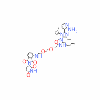 C=C/C=C\CC(NC(=O)CCOCCOCCNc1cccc2c1C(=O)N(C1CCC(=O)NC1=O)C2=O)N(C)c1c(C=C)nc(-c2cccnc2N)n1C1=CC[C@H]1C